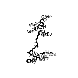 C=C1CC(CCC/C=C/C(O[Si](C)(C)C(C)(C)C)[C@@H]2O[C@H]3CCC(CC(=O)OC)OC3C(O[Si](C)(C)C(C)(C)C)C2O[Si](C)(C)C(C)(C)C)OC1CCC1CC(C)[C@@H](C)C(CC2O[C@H](CC(CO[Si](C)(C)C(C)(C)C)O[Si](C)(C)C(C)(C)C)[C@H](OC)C2CS(=O)(=O)c2ccccc2)O1